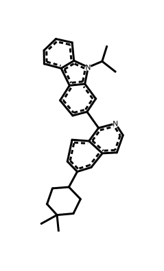 CC(C)n1c2ccccc2c2ccc(-c3nccc4cc(C5CCC(C)(C)CC5)ccc34)cc21